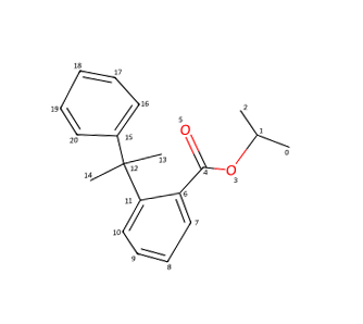 CC(C)OC(=O)c1ccccc1C(C)(C)c1ccccc1